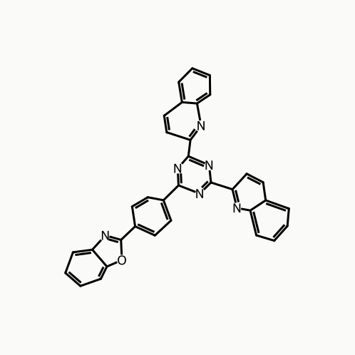 c1ccc2nc(-c3nc(-c4ccc(-c5nc6ccccc6o5)cc4)nc(-c4ccc5ccccc5n4)n3)ccc2c1